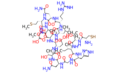 CC[C@H](C)[C@H](NC(=O)[C@@H](NC(=O)[C@@H](N)CS)[C@@H](C)O)C(=O)N[C@@H](Cc1c[nH]cn1)C(=O)NCC(=O)N[C@@H](CC(N)=O)C(=O)N[C@H](C(=O)N[C@@H](CCC(=O)O)C(=O)N[C@@H](CCC(=O)O)C(=O)N[C@@H](CC(C)C)C(=O)N[C@@H](CCCNC(=N)N)C(=O)N[C@@H](CCC(N)=O)C(=O)N[C@@H](CCSC)C(=O)N[C@@H](C)C(=O)N[C@@H](C)C(=O)O)[C@@H](C)O